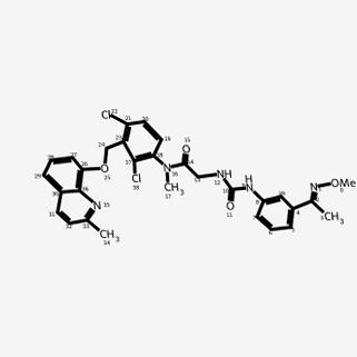 CON=C(C)c1cccc(NC(=O)NCC(=O)N(C)c2ccc(Cl)c(COc3cccc4ccc(C)nc34)c2Cl)c1